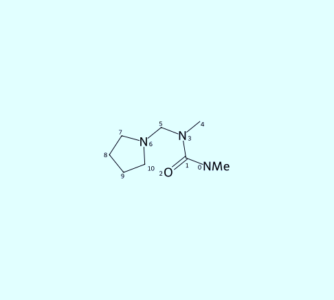 CNC(=O)N(C)CN1CCCC1